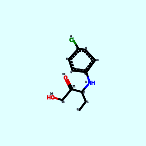 CCC(Nc1ccc(Cl)cc1)C(=O)CO